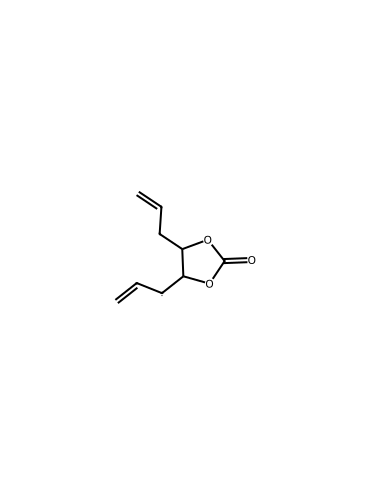 C=C[CH]C1OC(=O)OC1CC=C